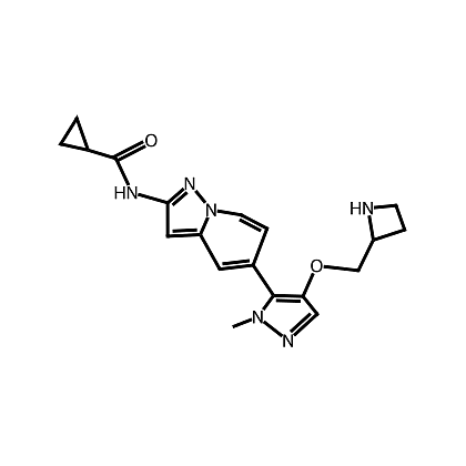 Cn1ncc(OCC2CCN2)c1-c1ccn2nc(NC(=O)C3CC3)cc2c1